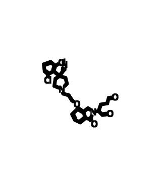 N#CC1(c2c(Cl)cccc2Cl)CCN(CCCOc2cccc3c2CN(C(C=O)CCC=O)C3=O)CC1